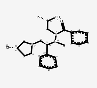 C[C@H](O)CN(C(=O)c1ccccc1)N(C)[C@H](CN1CC[C@H](Cl)C1)c1ccccc1